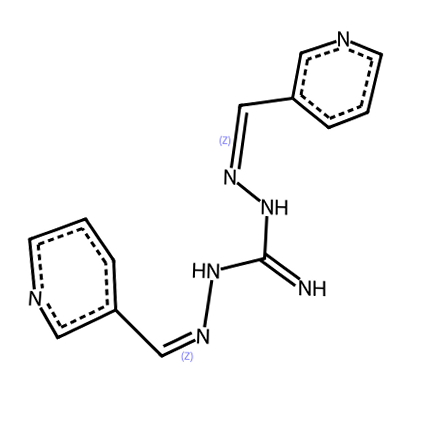 N=C(N/N=C\c1cccnc1)N/N=C\c1cccnc1